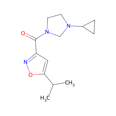 CC(C)c1cc(C(=O)N2CCN(C3CC3)C2)no1